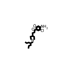 CCCC(CCC)CN1CCC(CCC(=O)c2cc(Cl)c(N)cc2OC)CC1